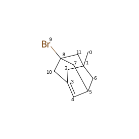 CC12CC3=CC(C1)CC(Br)(C3)C2